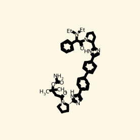 CCN(CC)C(C(=O)N1CCCC1c1ncc(-c2ccc(-c3ccc(-c4cnc([C@@H]5CCCN5C(=O)CC(C)(C)OC(N)=O)[nH]4)cc3)cc2)[nH]1)c1ccccc1